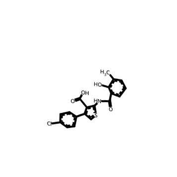 Cc1cccc(C(=O)Nc2scc(-c3ccc(Cl)cc3)c2C(=O)O)c1O